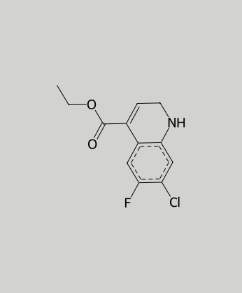 CCOC(=O)C1=CCNc2cc(Cl)c(F)cc21